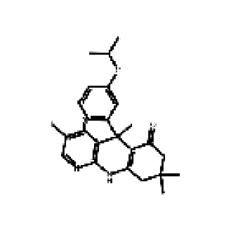 CC(C)Oc1cccc(C2(C)C3=C(CC(C)(C)CC3=O)Nc3ncc(I)c(Br)c32)c1